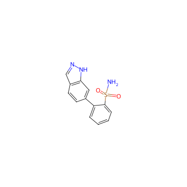 NS(=O)(=O)c1ccccc1-c1ccc2cn[nH]c2c1